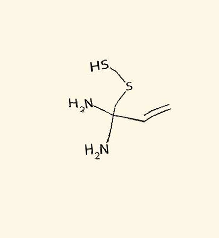 C=CC(N)(N)SS